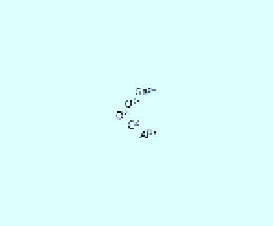 [Al+3].[Ga+3].[O-2].[O-2].[O-2]